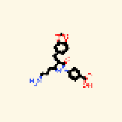 NCCCC1=NN(c2ccc(C(=O)O)cc2)C(=O)/C1=C\c1ccc2c(c1)OCO2